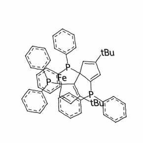 CC(C)(C)C1=CC(C2=C(C(C)(C)C)C=C[C]2([Fe])P(c2ccccc2)c2ccccc2)(P(c2ccccc2)c2ccccc2)C(P(c2ccccc2)c2ccccc2)=C1